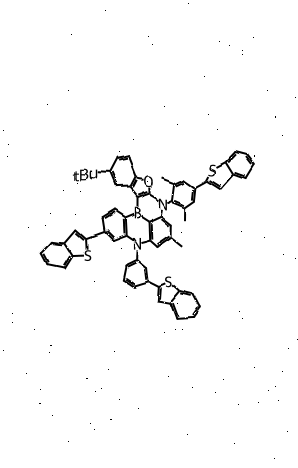 Cc1cc2c3c(c1)N(c1c(C)cc(-c4cc5ccccc5s4)cc1C)c1oc4ccc(C(C)(C)C)cc4c1B3c1ccc(-c3cc4ccccc4s3)cc1N2c1cccc(-c2cc3ccccc3s2)c1